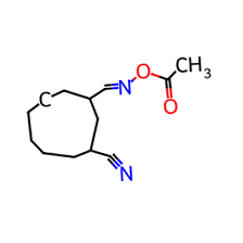 CC(=O)ON=CC1CCCCCCC(C#N)C1